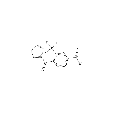 O=C(c1ccc([N+](=O)[O-])cc1C(F)(F)F)N1CCCC1